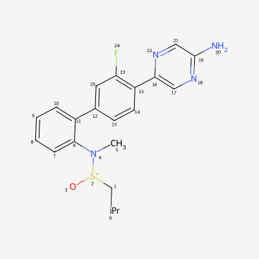 CC(C)C[S+]([O-])N(C)c1ccccc1-c1ccc(-c2cnc(N)cn2)c(F)c1